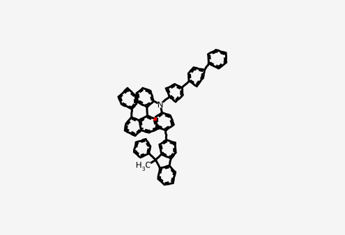 CC1(c2ccccc2)c2ccccc2-c2ccc(-c3ccc(N(c4ccc(-c5ccc(-c6ccccc6)cc5)cc4)c4ccccc4-c4cccc5cccc(-c6ccccc6)c45)cc3)cc21